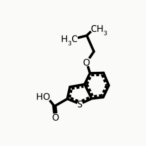 CC(C)COc1cccc2sc(C(=O)O)cc12